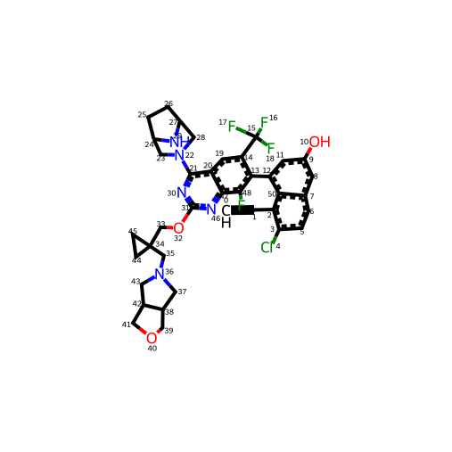 C#Cc1c(Cl)ccc2cc(O)cc(-c3c(C(F)(F)F)cc4c(N5CC6CCC(C5)N6)nc(OCC5(CN6CC7COCC7C6)CC5)nc4c3F)c12